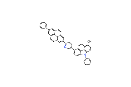 N#Cc1ccc2c3c1ccc1c(-c4ccc(-c5cc6ccc7cc(-c8ccccc8)cc8ccc(c5)c6c78)nc4)ccc(c13)n2-c1ccccc1